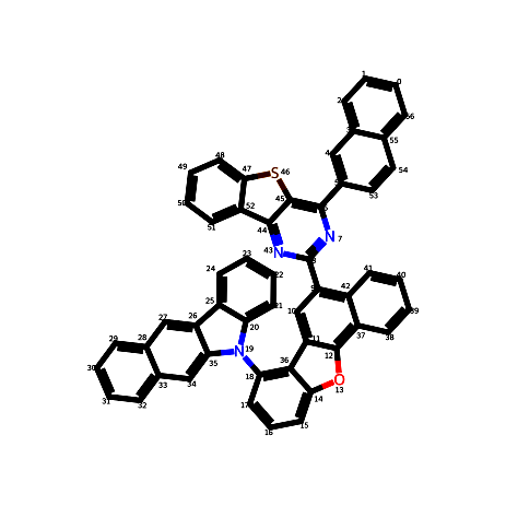 c1ccc2cc(-c3nc(-c4cc5c(oc6cccc(-n7c8ccccc8c8cc9ccccc9cc87)c65)c5ccccc45)nc4c3sc3ccccc34)ccc2c1